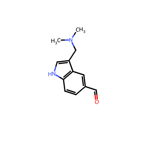 CN(C)Cc1c[nH]c2ccc(C=O)cc12